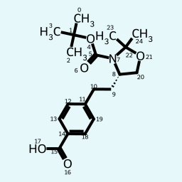 CC(C)(C)OC(=O)N1[C@@H](CCc2ccc(C(=O)O)cc2)COC1(C)C